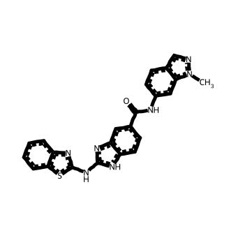 Cn1ncc2ccc(NC(=O)c3ccc4[nH]c(Nc5nc6ccccc6s5)nc4c3)cc21